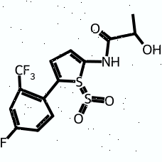 CC(O)C(=O)NC1=CC=C(c2ccc(F)cc2C(F)(F)F)S1=S(=O)=O